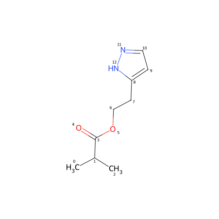 CC(C)C(=O)OCCc1ccn[nH]1